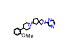 COc1ccccc1C1CCN([C@@H]2CCC3(C2)CN(c2cnccn2)C3)CC1